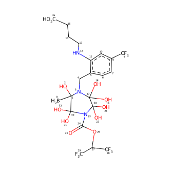 BC1(O)N(Cc2ccc(C(F)(F)F)cc2NCCCC(=O)O)C(O)(O)C(O)(O)N(C(=O)OC(C(F)(F)F)C(F)(F)F)C1(O)O